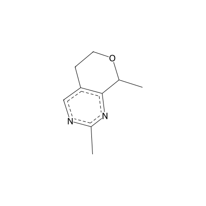 Cc1ncc2c(n1)C(C)OCC2